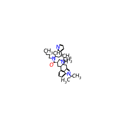 CCCCN(C(=O)[C@@H]1CC2c3cccc4c3c(cn4C(C)C)C[C@H]2N(C)C1)C(C)CC(C)c1cccnc1